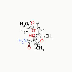 C[C@H](OC(C)(C)C[C@H]1COC(C)(C)O1)[C@@H](O)C(N)=O